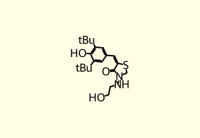 CC(C)(C)c1cc(C=C2SCN(NCCO)C2=O)cc(C(C)(C)C)c1O